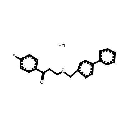 Cl.O=C(CCNCc1ccc(-c2ccccc2)cc1)c1ccc(F)cc1